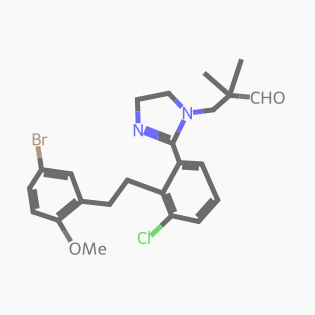 COc1ccc(Br)cc1CCc1c(Cl)cccc1C1=NCCN1CC(C)(C)C=O